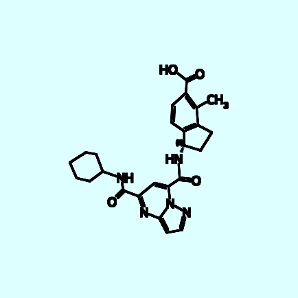 Cc1c(C(=O)O)ccc2c1CC[C@@H]2NC(=O)c1cc(C(=O)NC2CCCCC2)nc2ccnn12